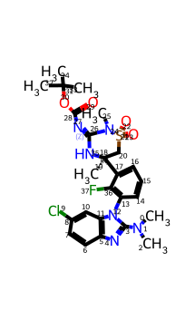 CN(C)c1nc2ccc(Cl)cc2n1-c1cccc([C@]2(C)CS(=O)(=O)N(C)/C(=N\C(=O)OC(C)(C)C)N2)c1F